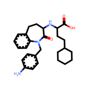 Nc1ccc(CN2C(=O)C(NC(CCC3CCCCC3)C(=O)O)CCc3ccccc32)cc1